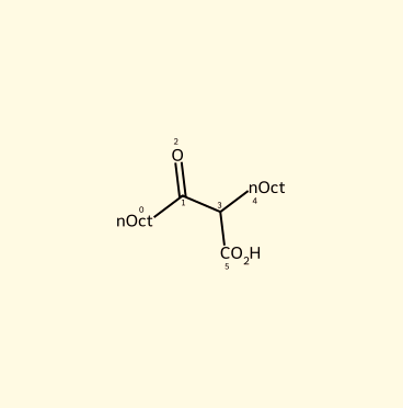 CCCCCCCCC(=O)C(CCCCCCCC)C(=O)O